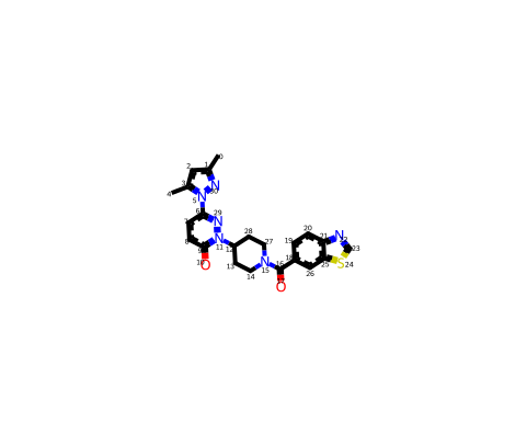 Cc1cc(C)n(-c2ccc(=O)n(C3CCN(C(=O)c4ccc5ncsc5c4)CC3)n2)n1